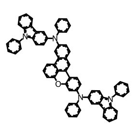 c1ccc(N(c2ccc3c(c2)Oc2cccc4c2c-3cc2ccc(N(c3ccccc3)c3ccc5c(c3)c3ccccc3n5-c3ccccc3)cc24)c2ccc3c(c2)c2ccccc2n3-c2ccccc2)cc1